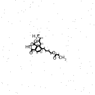 C=CC(=O)OCCCCc1ccc(C(=O)O)c(C(=O)O)c1CCCC